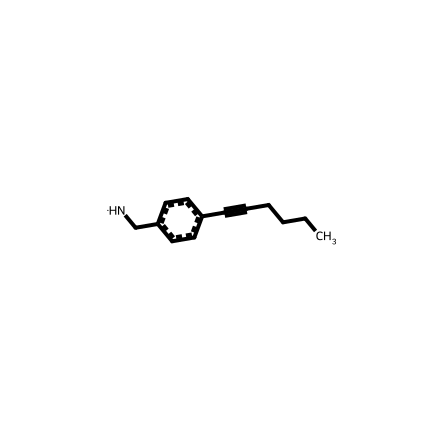 CCCCC#Cc1ccc(C[NH])cc1